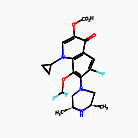 C[C@@H]1CN(c2c(F)cc3c(=O)c(OC(=O)O)cn(C4CC4)c3c2OC(F)F)C[C@H](C)N1